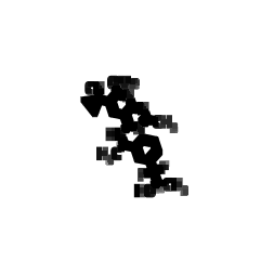 COc1nc2nc(C)nc(N[C@H](C)c3cccc(C(F)(F)[C@@H](C)O)c3)c2cc1C1(C#N)CC1